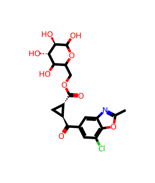 Cc1nc2cc(C(=O)[C@H]3C[C@@H]3C(=O)OCC3OC(O)[C@H](O)[C@@H](O)C3O)cc(Cl)c2o1